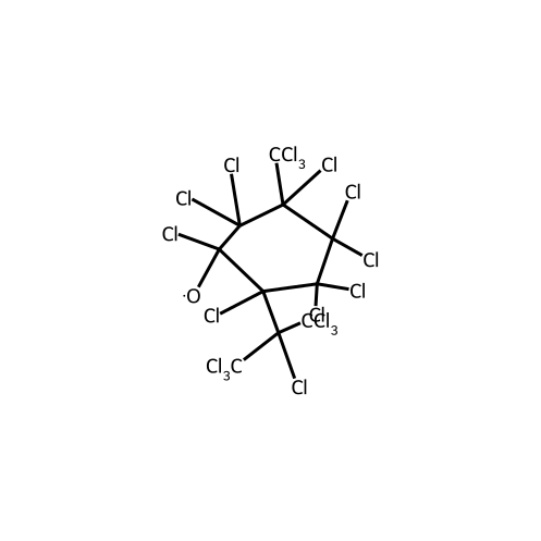 [O]C1(Cl)C(Cl)(Cl)C(Cl)(C(Cl)(Cl)Cl)C(Cl)(Cl)C(Cl)(Cl)C1(Cl)C(Cl)(C(Cl)(Cl)Cl)C(Cl)(Cl)Cl